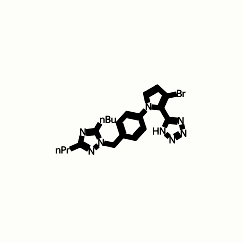 CCCCc1nc(CCC)nn1Cc1ccc(-n2ccc(Br)c2-c2nnn[nH]2)cc1